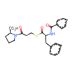 O=C(NC(Cc1ccccc1)C(=O)SCCC(=O)N1CCC[C@H]1C(=O)O)c1ccccc1